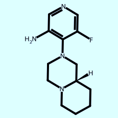 Nc1cncc(F)c1N1CCN2CCCC[C@H]2C1